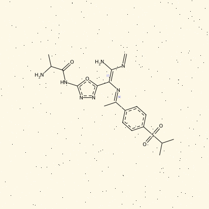 C=N/C(N)=C(\N=C(/C)c1ccc(S(=O)(=O)C(C)C)cc1)c1nnc(NC(=O)C(C)N)o1